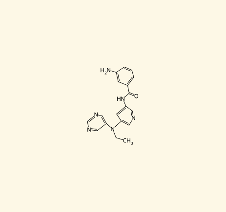 CCN(c1cncnc1)c1cncc(NC(=O)c2cccc(N)c2)c1